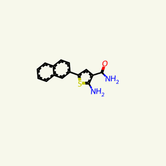 NC(=O)c1cc(-c2ccc3ccccc3c2)sc1N